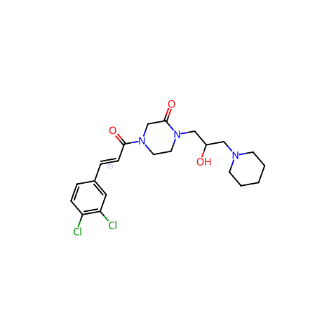 O=C(/C=C/c1ccc(Cl)c(Cl)c1)N1CCN(CC(O)CN2CCCCC2)C(=O)C1